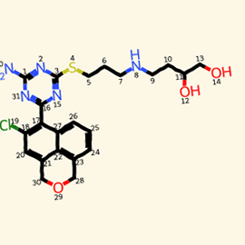 Nc1nc(SCCCNCCC(O)CO)nc(-c2c(Cl)cc3c4c(cccc24)COC3)n1